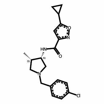 C[C@H]1CN(Cc2ccc(Cl)cc2)C[C@H]1NC(=O)c1cc(C2CC2)on1